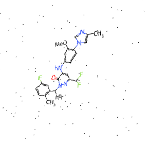 CCCC(c1cc(F)ccc1C)n1nc(C(F)F)cc(Nc2ccc(-n3cnc(C)c3)c(OC)c2)c1=O